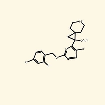 O=C(O)C1(c2nc(OCc3ccc(Cl)cc3F)ncc2F)CC12CCNCC2